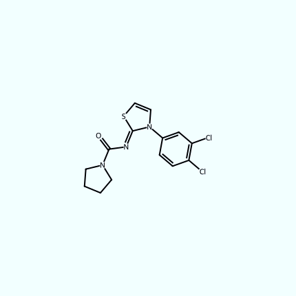 O=C(N=c1sccn1-c1ccc(Cl)c(Cl)c1)N1CCCC1